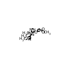 CCn1ncc(-c2nc3c(O[C@H]4CCN(C(=O)OC)C4)ncnc3n2C)c1C